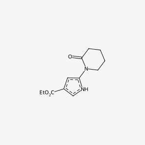 CCOC(=O)c1c[nH]c(N2CCCCC2=O)c1